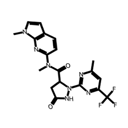 Cc1cc(C(F)(F)F)nc(N2NC(=O)CC2C(=O)N(C)c2ccc3ccn(C)c3n2)n1